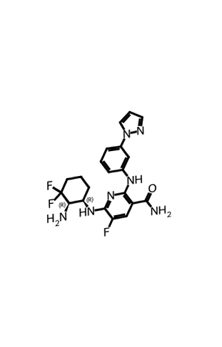 NC(=O)c1cc(F)c(N[C@@H]2CCCC(F)(F)[C@@H]2N)nc1Nc1cccc(-n2cccn2)c1